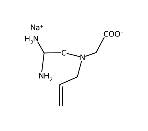 C=CCN(CC(=O)[O-])CC(N)N.[Na+]